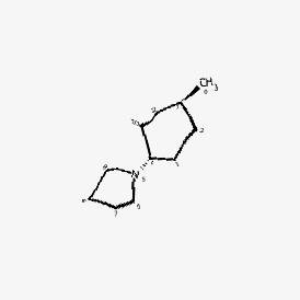 C[C@H]1CC[C@H](N2CCCC2)CC1